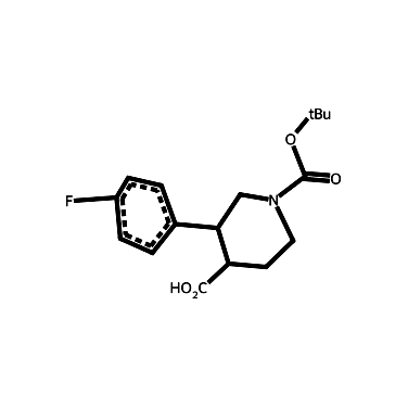 CC(C)(C)OC(=O)N1CCC(C(=O)O)C(c2ccc(F)cc2)C1